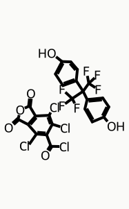 O=C(Cl)c1c(Cl)c(Cl)c2c(c1Cl)C(=O)OC2=O.Oc1ccc(C(c2ccc(O)cc2)(C(F)(F)F)C(F)(F)F)cc1